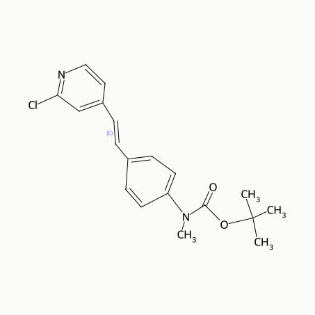 CN(C(=O)OC(C)(C)C)c1ccc(/C=C/c2ccnc(Cl)c2)cc1